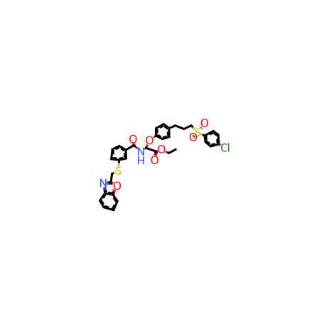 CCOC(=O)C(NC(=O)c1cccc(SCc2nc3ccccc3o2)c1)Oc1ccc(CCCS(=O)(=O)c2ccc(Cl)cc2)cc1